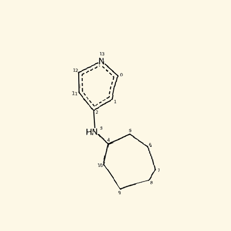 c1cc(NC2CCCCCC2)ccn1